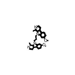 COc1ccc2c3ccnc(C)c3n(CCCn3c4cc(OC)ccc4c4ccnc(C)c43)c2c1